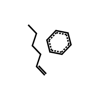 C=CCCCC.c1ccccc1